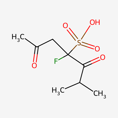 CC(=O)CC(F)(C(=O)C(C)C)S(=O)(=O)O